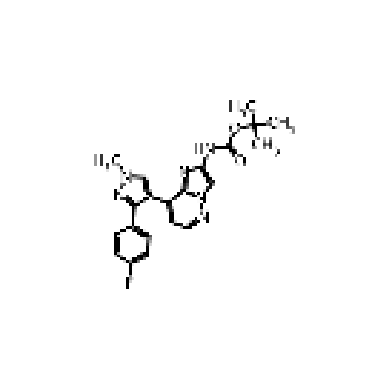 Cn1cc(-c2ccnn3cc(NC(=O)OC(C)(C)C)nc23)c(-c2ccc(F)cc2)n1